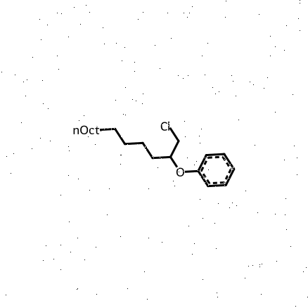 CCCCCCCCCCCCC(CCl)Oc1ccccc1